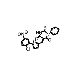 O=C1NC(=S)N(c2ccccc2)C(=O)/C1=C/c1ccc(-c2cc([N+](=O)[O-])ccc2Cl)o1